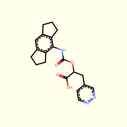 O=C(Nc1c2c(cc3c1CCC3)CCC2)OC(Cc1ccnnc1)C(=O)O